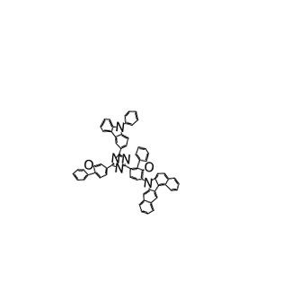 c1ccc(-n2c3ccccc3c3cc(-c4nc(-c5ccc6c(c5)oc5ccccc56)nc(-c5ccc(-n6c7cc8ccccc8cc7c7c8ccccc8ccc76)c6oc7ccccc7c56)n4)ccc32)cc1